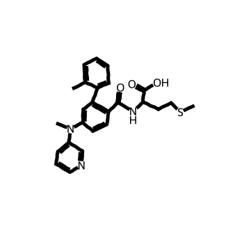 CSCCC(NC(=O)c1ccc(N(C)c2cccnc2)cc1-c1ccccc1C)C(=O)O